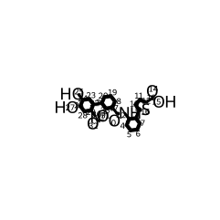 O=C(Nc1ccccc1-c1ccc(C(=O)O)s1)c1cccc(-c2cc(O)c(O)cc2[N+](=O)[O-])c1